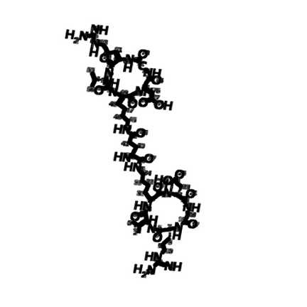 CC(C)=C1NC(=O)[C@@H](CCCNC(=N)N)NC(=O)CNC(=O)[C@@H](CC(=O)O)NC(=O)C(CCCCNC(=O)C(=N)CCC(=O)NCCC/C=C2/NC(=O)[C@H](C(C)C)NC(=O)/C(=C\CCNC(=N)N)NC(=O)CNC(=O)/C(=C/C(=O)O)NC2=O)NC1=O